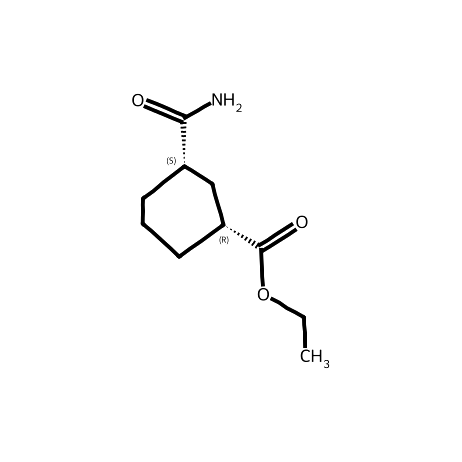 CCOC(=O)[C@@H]1CCC[C@H](C(N)=O)C1